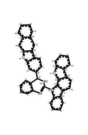 c1ccc2c(c1)N=C(n1c3ccccc3c3ccc4c5ccccc5oc4c31)NC2c1ccc2c(c1)oc1cc3ccccc3cc12